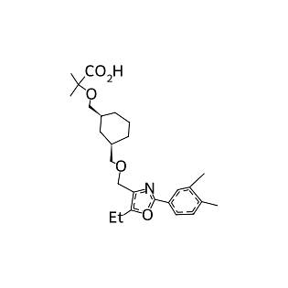 CCc1oc(-c2ccc(C)c(C)c2)nc1COC[C@@H]1CCC[C@H](COC(C)(C)C(=O)O)C1